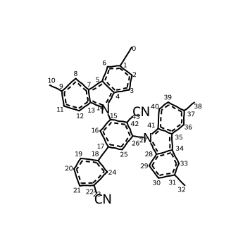 Cc1ccc2c(c1)c1cc(C)ccc1n2-c1cc(-c2cccc(C#N)c2)cc(-n2c3ccc(C)cc3c3cc(C)ccc32)c1C#N